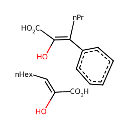 CCCC(=C(O)C(=O)O)c1ccccc1.CCCCCCC=C(O)C(=O)O